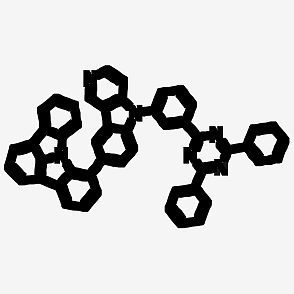 c1ccc(-c2nc(-c3ccccc3)nc(-c3cccc(-n4c5ccncc5c5cc(-c6cccc7c8cccc9c%10ccccc%10n(c67)c98)ccc54)c3)n2)cc1